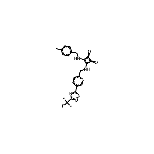 Cc1ccc(CNc2c(NCc3ccc(-c4noc(C(F)(F)F)n4)cn3)c(=O)c2=O)cc1